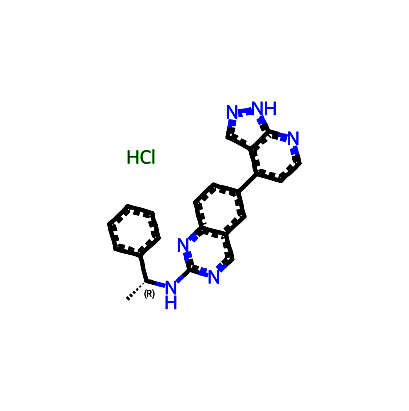 C[C@@H](Nc1ncc2cc(-c3ccnc4[nH]ncc34)ccc2n1)c1ccccc1.Cl